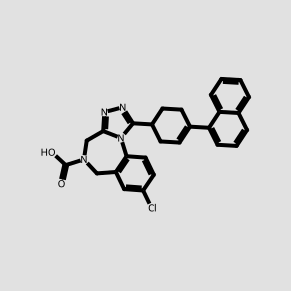 O=C(O)N1Cc2cc(Cl)ccc2-n2c(nnc2C2CC=C(c3cccc4ccccc34)CC2)C1